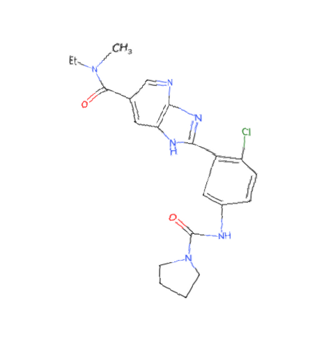 CCN(C)C(=O)c1cnc2nc(-c3cc(NC(=O)N4CCCC4)ccc3Cl)[nH]c2c1